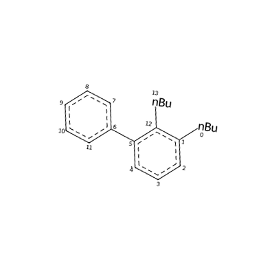 CCCCc1cc[c]c(-c2ccccc2)c1CCCC